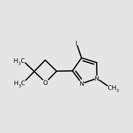 Cn1cc(I)c(C2CC(C)(C)O2)n1